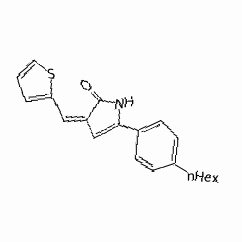 CCCCCCc1ccc(C2=CC(=Cc3cccs3)C(=O)N2)cc1